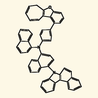 C1=CCc2oc3cccc(-c4ccc(N(c5cccc6ccccc56)c5ccc(-n6c7ccccc7c7c8ccccc8ccc76)c6ccccc56)cc4)c3c2C=C1